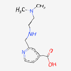 CN(C)CCNCc1cc(C(=O)O)ccn1